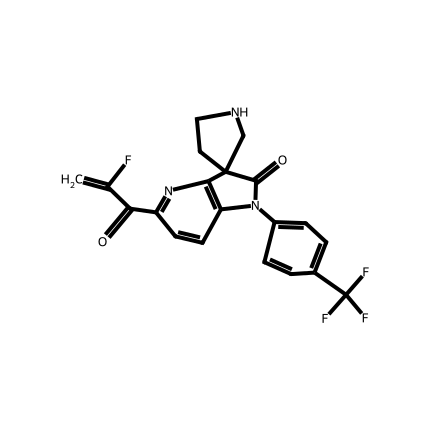 C=C(F)C(=O)c1ccc2c(n1)C1(CCNC1)C(=O)N2c1ccc(C(F)(F)F)cc1